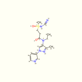 CCN(C(=O)CCS(C)(=O)=NC#N)c1cn(-c2cccnc2)nc1C